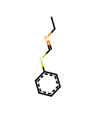 CC/P=C/Sc1ccccc1